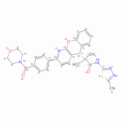 CC(C)(C(=O)Nc1nnc(C#N)s1)[C@H]1c2ccccc2Oc2nc(-c3ccc(C(=O)N4CCOCC4)cc3)ccc21